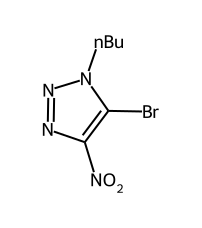 CCCCn1nnc([N+](=O)[O-])c1Br